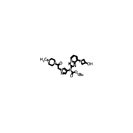 CN1CCN(C(=O)Cn2cc(N(C(=O)OC(C)(C)C)c3nc4c(N5CC(O)C5)cccn4n3)cn2)CC1